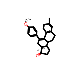 CCCOc1ccc(C2=C3C4=C(C=C(C)CC4)CCC3C3CCC(=O)[C@@]3(C)C2)cc1